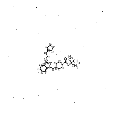 CC(C)(C)OC(=O)N1CCC(Cn2nc(OCCN3CCCC3)c3ccccc32)CC1